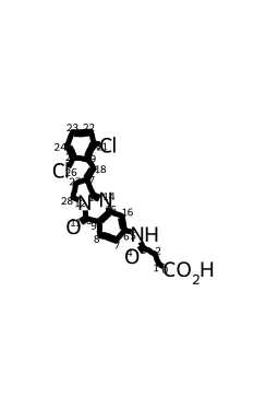 O=C(O)CCC(=O)Nc1ccc2c(=O)n3c(nc2c1)C(=Cc1c(Cl)cccc1Cl)CC3